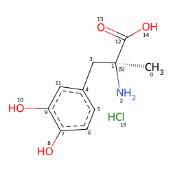 C[C@](N)(Cc1ccc(O)c(O)c1)C(=O)O.Cl